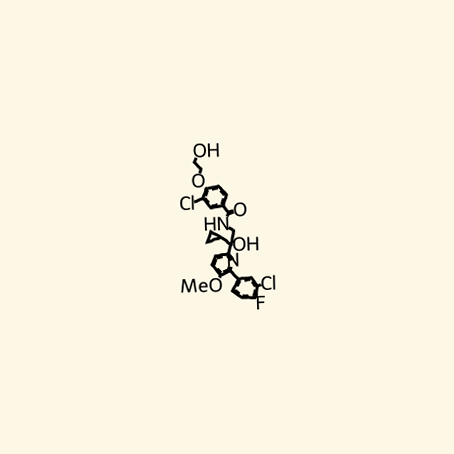 COc1ccc(C(O)(CNC(=O)c2ccc(OCCO)c(Cl)c2)C2CC2)nc1-c1ccc(F)c(Cl)c1